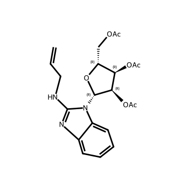 C=CCNc1nc2ccccc2n1[C@@H]1O[C@H](COC(C)=O)[C@@H](OC(C)=O)[C@H]1OC(C)=O